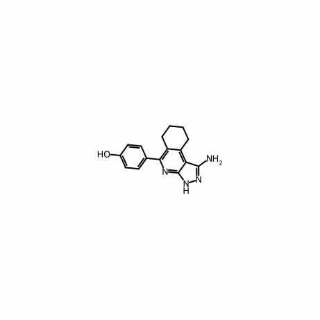 Nc1n[nH]c2nc(-c3ccc(O)cc3)c3c(c12)CCCC3